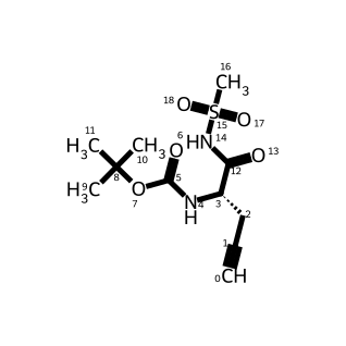 C#CC[C@H](NC(=O)OC(C)(C)C)C(=O)NS(C)(=O)=O